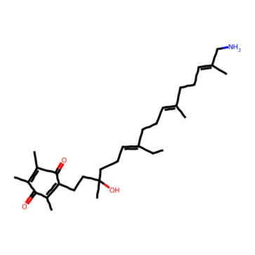 CC/C(=C\CCC(C)(O)CCC1=C(C)C(=O)C(C)=C(C)C1=O)CC/C=C(\C)CC/C=C(\C)CN